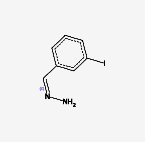 N/N=C\c1cccc(I)c1